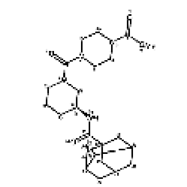 COC(=O)N1CCN(C(=O)N2CCC[C@H](NC(=O)C34CC5CC(C3)C(O)C(C5)C4)C2)CC1